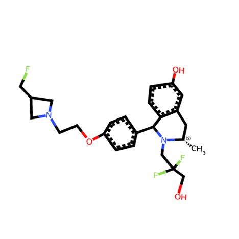 C[C@H]1Cc2cc(O)ccc2C(c2ccc(OCCN3CC(CF)C3)cc2)N1CC(F)(F)CO